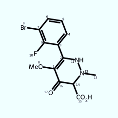 COC1=C(c2cccc(Br)c2F)NN(C)C(C(=O)O)C1=O